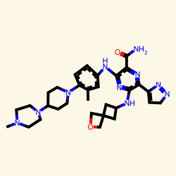 Cc1cc(Nc2nc(NC3CC4(COC4)C3)c(C3=CCN=N3)nc2C(N)=O)ccc1N1CCC(N2CCN(C)CC2)CC1